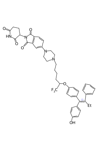 CC/C(=C(\c1ccc(O)cc1)c1ccc(OC(CCCCN2CCN(c3ccc4c(c3)C(=O)N(C3CCC(=O)NC3=O)C4=O)CC2)C(F)(F)F)cc1)c1ccccc1